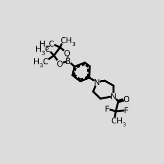 CC(F)(F)C(=O)N1CCN(c2ccc(B3OC(C)(C)C(C)(C)O3)cc2)CC1